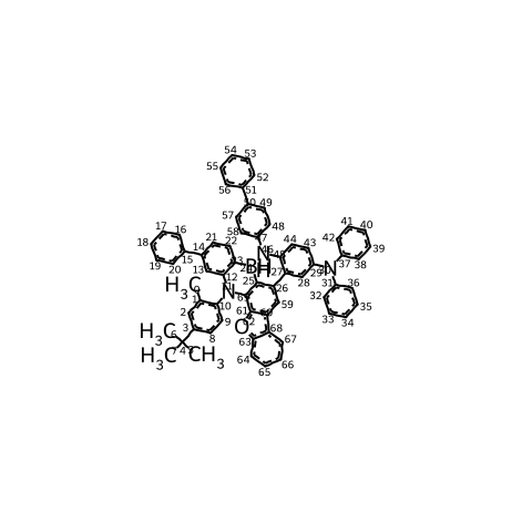 Cc1cc(C(C)(C)C)ccc1N1c2cc(-c3ccccc3)ccc2Bc2c(-c3cc(N(c4ccccc4)c4ccccc4)ccc3Nc3ccc(-c4ccccc4)cc3)cc3c(oc4ccccc43)c21